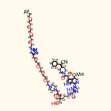 COc1cnc(-n2cnc(C(=O)NCCCC(CO)(CO)CCCN3CCN(CCOCCOCCOCCOCc4cn(CCOCCOCCOCCOCCC(C)=O)nn4)CC3)n2)c2[nH]cc(C(=O)C(=O)N3CCC(=C(C#N)c4ccccc4)CC3)c12